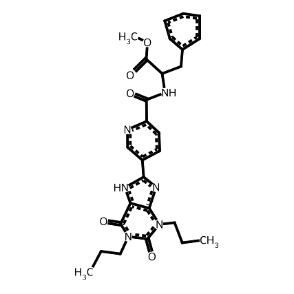 CCCn1c(=O)c2[nH]c(-c3ccc(C(=O)NC(Cc4ccccc4)C(=O)OC)nc3)nc2n(CCC)c1=O